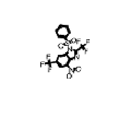 O=[N+]([O-])c1cc(C(F)(F)F)cc2c1nc(C(F)(F)F)n2S(=O)(=O)c1ccccc1